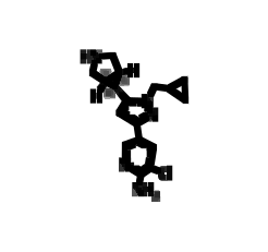 Nc1ncc(-c2cc([C@H]3[C@@H]4CNC[C@@H]43)n(CC3CC3)n2)cc1Cl